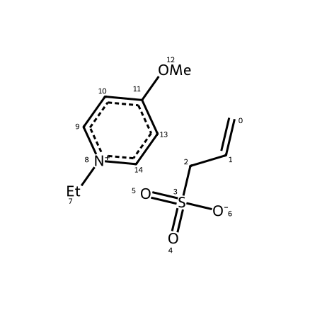 C=CCS(=O)(=O)[O-].CC[n+]1ccc(OC)cc1